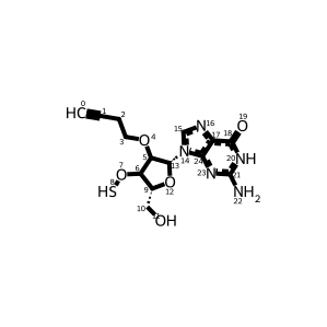 C#CCCOC1C(OS)[C@@H](CO)O[C@H]1n1cnc2c(=O)[nH]c(N)nc21